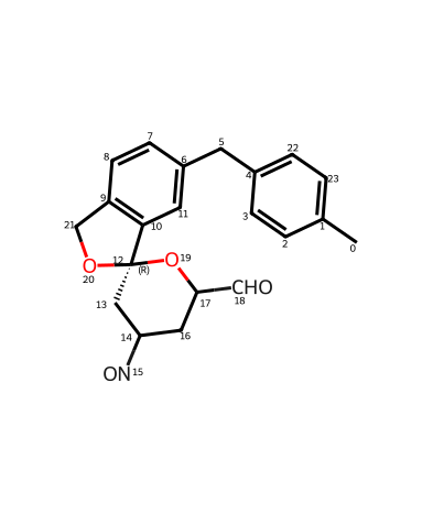 Cc1ccc(Cc2ccc3c(c2)[C@]2(CC(N=O)CC(C=O)O2)OC3)cc1